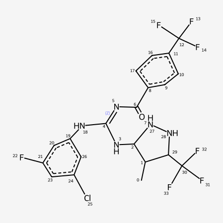 CC1C(N/C(=N\C(=O)c2ccc(C(F)(F)F)cc2)Nc2cc(F)cc(Cl)c2)NNC1C(F)(F)F